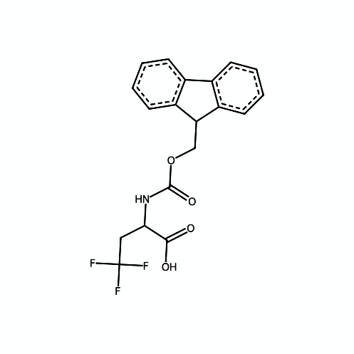 O=C(NC(CC(F)(F)F)C(=O)O)OCC1c2ccccc2-c2ccccc21